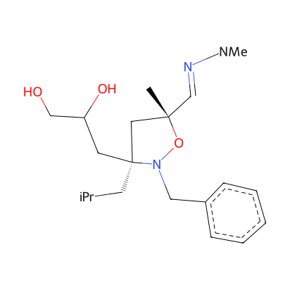 CN/N=C/[C@@]1(C)C[C@](CC(C)C)(CC(O)CO)N(Cc2ccccc2)O1